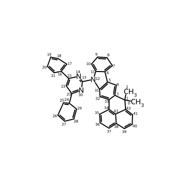 CC1(C)c2cc3c4ccccc4n(-c4nc(-c5ccccc5)cc(-c5ccccc5)n4)c3cc2-c2cccc3cccc1c23